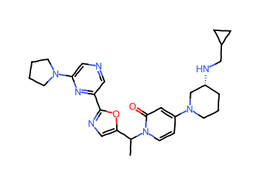 CC(c1cnc(-c2cncc(N3CCCC3)n2)o1)n1ccc(N2CCC[C@@H](NCC3CC3)C2)cc1=O